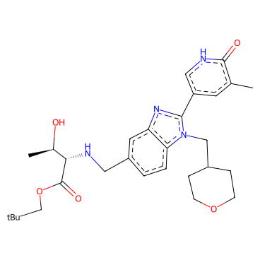 Cc1cc(-c2nc3cc(CN[C@H](C(=O)OCC(C)(C)C)[C@@H](C)O)ccc3n2CC2CCOCC2)c[nH]c1=O